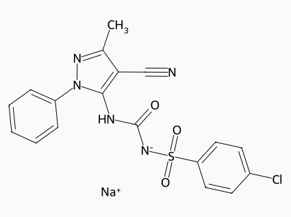 Cc1nn(-c2ccccc2)c(NC(=O)[N-]S(=O)(=O)c2ccc(Cl)cc2)c1C#N.[Na+]